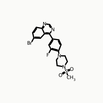 CS(=O)(=O)N1CCN(c2ccc(-c3ncnc4ccc(Br)cc34)cc2F)CC1